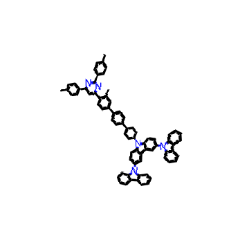 Cc1ccc(-c2cc(-c3ccc(-c4ccc(-c5ccc(-n6c7ccc(-n8c9ccccc9c9ccccc98)cc7c7cc(-n8c9ccccc9c9ccccc98)ccc76)cc5)cc4)cc3C)nc(-c3ccc(C)cc3)n2)cc1